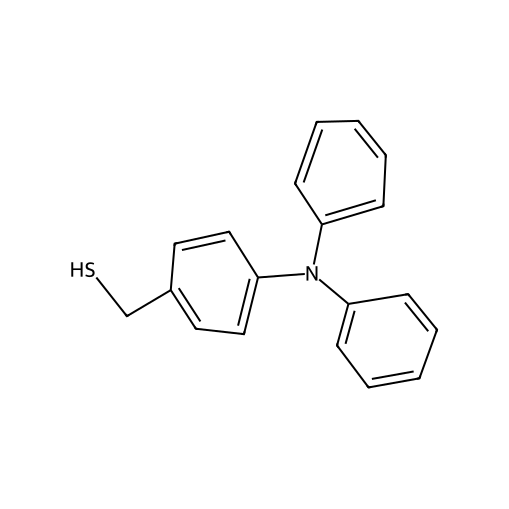 SCc1ccc(N(c2ccccc2)c2ccccc2)cc1